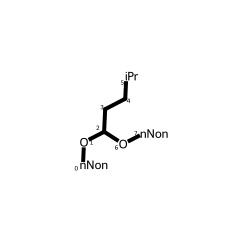 CCCCCCCCCOC(CCC(C)C)OCCCCCCCCC